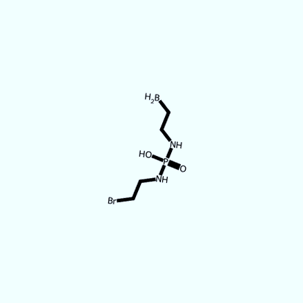 BCCNP(=O)(O)NCCBr